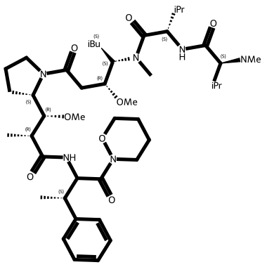 CC[C@H](C)[C@@H]([C@@H](CC(=O)N1CCC[C@H]1[C@H](OC)[C@@H](C)C(=O)NC(C(=O)N1CCCCO1)[C@@H](C)c1ccccc1)OC)N(C)C(=O)[C@@H](NC(=O)[C@@H](NC)C(C)C)C(C)C